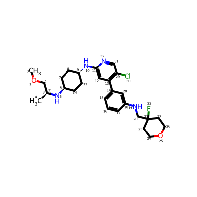 COC[C@H](C)N[C@H]1CC[C@H](Nc2cc(-c3cccc(NCC4(F)CCOCC4)c3)c(Cl)cn2)CC1